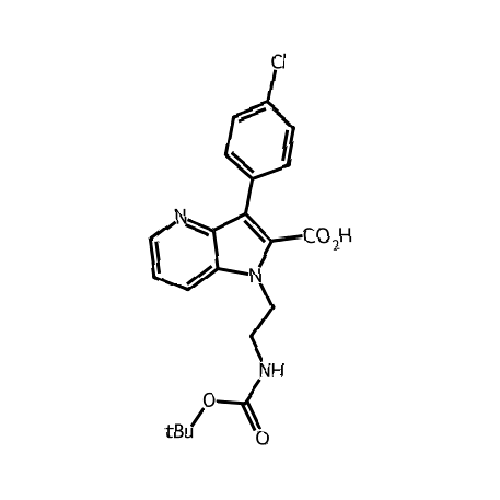 CC(C)(C)OC(=O)NCCn1c(C(=O)O)c(-c2ccc(Cl)cc2)c2ncccc21